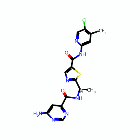 C[C@@H](NC(=O)c1cc(N)ncn1)c1ncc(C(=O)Nc2cc(C(F)(F)F)c(Cl)cn2)s1